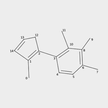 CC1=C(c2ccc(C)c(C)c2C)CC=C1